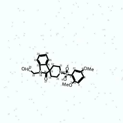 COc1ccc(OC)c(S(=O)(=O)N2CCC3(CC2)C(=O)N(CC=O)c2ccccc23)c1